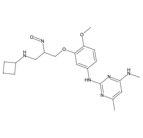 CNc1cc(C)nc(Nc2ccc(OC)c(OCC(CNC3CCC3)N=O)c2)n1